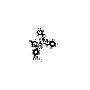 CC(C)CN(CC[C@H](Cc1ccccc1)NC(=O)O[C@H]1CCOC1)S(=O)(=O)c1ccc(N)cc1